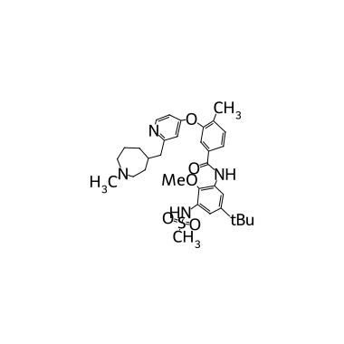 COc1c(NC(=O)c2ccc(C)c(Oc3ccnc(CC4CCCN(C)CC4)c3)c2)cc(C(C)(C)C)cc1NS(C)(=O)=O